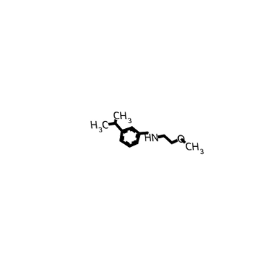 COCCNCc1cccc(C(C)C)c1